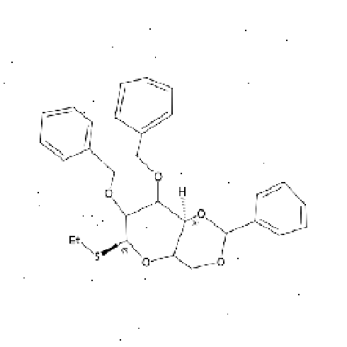 CCS[C@@H]1OC2COC(c3ccccc3)O[C@@H]2C(OCc2ccccc2)C1OCc1ccccc1